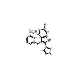 CCOC(=O)c1cccc(Cc2c(-c3ccsc3)[nH]c3cc(Cl)ccc23)n1